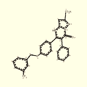 O=C(O)c1cc2[nH]c(-c3ccc(OCc4cccc(C(F)(F)F)c4)cc3)c(-c3ccccc3)c(=O)n2n1